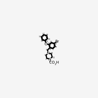 O=C(O)N1CCN(Cc2ccc(Br)cc2Oc2ccccc2)CC1